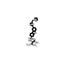 CC(C)[C@H](NS(=O)(=O)c1ccc2c(c1)oc1ccc(-c3ncc(Cn4cccn4)s3)cc12)C(=O)O